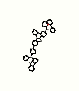 c1ccc(-c2ccccc2N(c2ccccc2)c2ccc3c(c2)c2ccccc2c2c4ccc(-c5ccc(N(c6ccccc6)c6cccc7c6oc6ccccc67)cc5)cc4oc32)cc1